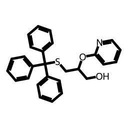 OCC(CSC(c1ccccc1)(c1ccccc1)c1ccccc1)Oc1ccccn1